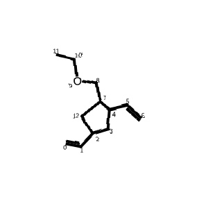 C=CC1CC(C=C)C(COCC)C1